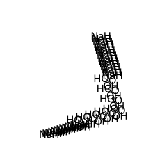 O=C(O)O.O=C(O)O.O=C(O)O.O=C(O)O.O=C(O)O.O=C(O)O.O=C(O)O.O=C(O)O.[NaH].[NaH].[NaH].[NaH].[NaH].[NaH].[NaH].[NaH].[NaH].[NaH].[NaH].[NaH].[NaH].[NaH].[NaH].[NaH].[NaH].[NaH].[NaH].[NaH].[NaH].[NaH].[NaH].[NaH].[NaH].[NaH].[NaH].[NaH]